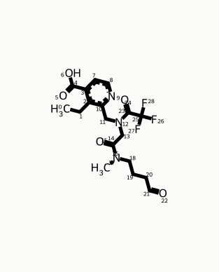 CCc1c(C(=O)O)ccnc1CN(CC(=O)N(C)CCCC=O)C(=O)C(F)(F)F